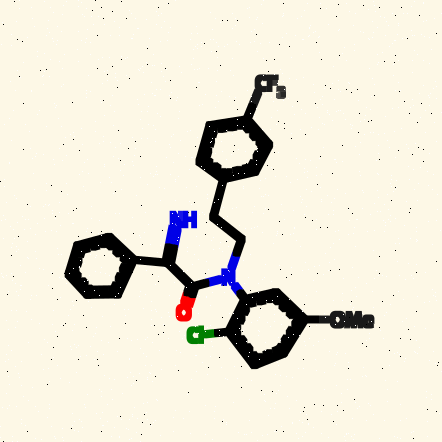 COc1ccc(Cl)c(N(CCc2ccc(C(F)(F)F)cc2)C(=O)C(=N)c2ccccc2)c1